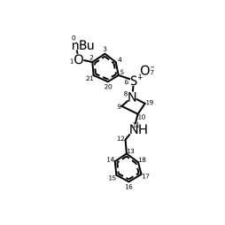 CCCCOc1ccc([S+]([O-])N2CC(NCc3ccccc3)C2)cc1